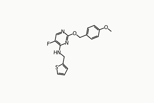 COc1ccc(COc2ncc(F)c(NCc3cccs3)n2)cc1